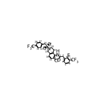 O=C(Cc1cccc(C(F)(F)F)c1F)Nc1c(Cl)ccc2c1CCN(S(=O)(=O)Cc1ccc(C(F)(F)F)cc1)C2